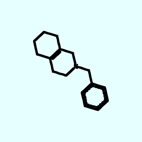 c1ccc(CN2CCC3=C(CCCC3)C2)cc1